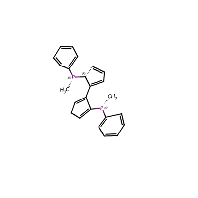 C[P@](c1ccccc1)[C@@H]1C=CC=C1C1=CCC=C1[P@](C)c1ccccc1